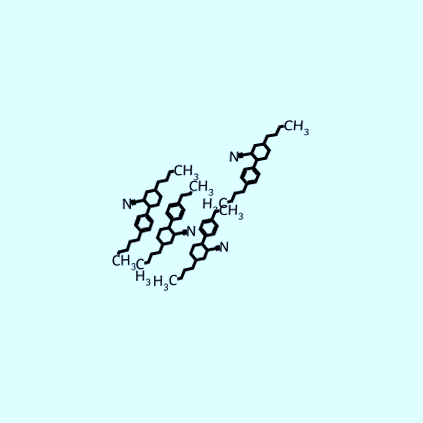 CCCCC1CCC(c2ccc(CC)cc2)C(C#N)C1.CCCCC1CCC(c2ccc(CCC)cc2)C(C#N)C1.CCCCCc1ccc(C2CCC(CCCC)CC2C#N)cc1.CCCCc1ccc(C2CCC(CCCC)CC2C#N)cc1